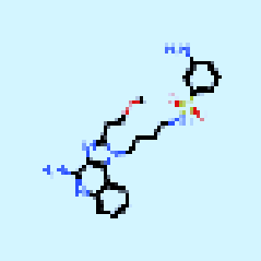 COCCc1nc2c(N)nc3ccccc3c2n1CCCCNS(=O)(=O)c1cccc(N)c1